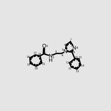 O=C(NCCn1ccnc1-c1ccccc1)c1ccccc1